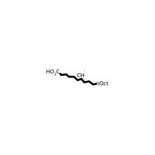 CCCCCCCCCCCCCCCCCC(=O)O.[CH]